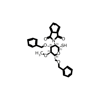 CO[C@H]1[C@H](OCc2ccccc2)[C@H](N2C(=O)c3ccccc3C2=O)[C@H](S)O[C@@H]1COCc1ccccc1